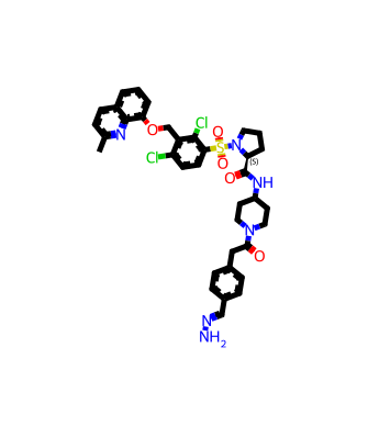 Cc1ccc2cccc(OCc3c(Cl)ccc(S(=O)(=O)N4CCC[C@H]4C(=O)NC4CCN(C(=O)Cc5ccc(C=NN)cc5)CC4)c3Cl)c2n1